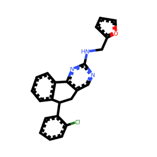 Clc1ccccc1C1Cc2cnc(NCc3ccco3)nc2-c2ccccc21